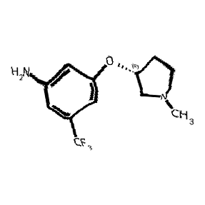 CN1CC[C@@H](Oc2cc(N)cc(C(F)(F)F)c2)C1